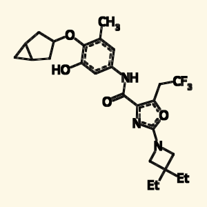 CCC1(CC)CN(c2nc(C(=O)Nc3cc(C)c(OC4CC5CC5C4)c(O)c3)c(CC(F)(F)F)o2)C1